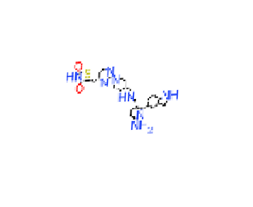 Nc1ccc(CNCC2CCN(c3nccc(/C=C4\SC(=O)NC4=O)n3)CC2)c(-c2ccc3[nH]ccc3c2)n1